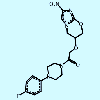 O=C(COC1COc2nc([N+](=O)[O-])cn2C1)N1CCN(c2ccc(F)cc2)CC1